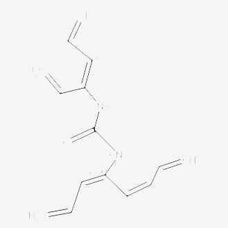 C=C/C=C\C(=C/C=C)NC(=O)N/C(C=C)=C/C=C